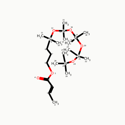 CC=CC(=O)OCCC[Si](C)(C)O[Si](C)(C)O[Si](C)(C)O[Si](C)(C)O[Si](C)(C)C